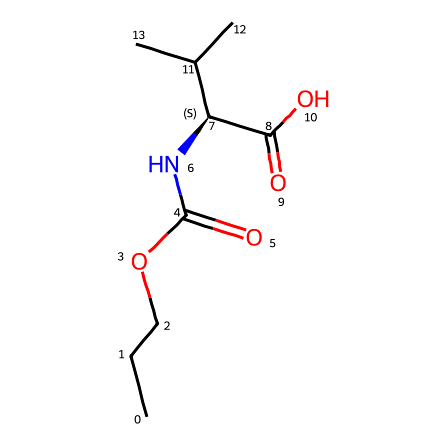 CCCOC(=O)N[C@H](C(=O)O)C(C)C